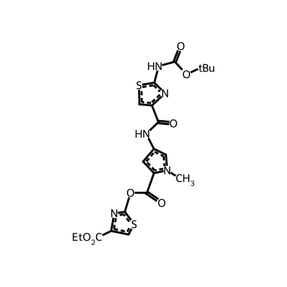 CCOC(=O)c1csc(OC(=O)c2cc(NC(=O)c3csc(NC(=O)OC(C)(C)C)n3)cn2C)n1